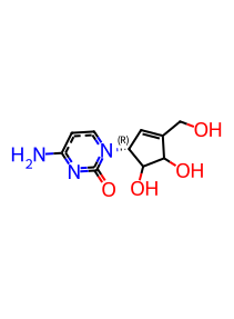 Nc1ccn([C@@H]2C=C(CO)C(O)C2O)c(=O)n1